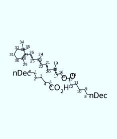 CCCCCCCCCCCCCCCC(=O)O.CCCCCCCCCCCCCCCC(=O)OC/C=C(C)/C=C/C=C(C)/C=C/C1=C(C)CCCC1(C)C